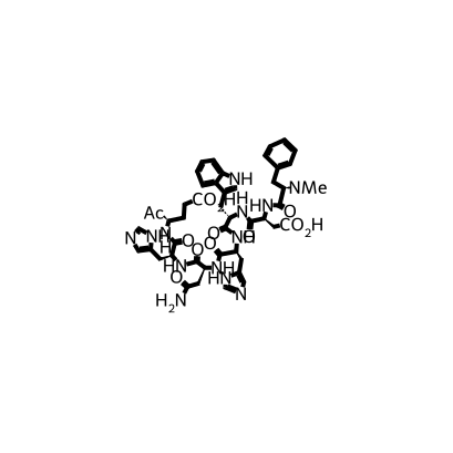 CN[C@@H](Cc1ccccc1)C(=O)N[C@@H](CC(=O)O)C(=O)N[C@@H](Cc1c[nH]c2ccccc12)C(=O)N[C@@H](Cc1cnc[nH]1)C(=O)N[C@@H](CC(N)=O)C(=O)N[C@@H](Cc1cnc[nH]1)C(=O)N[C@@H](CCC(=O)O)C(C)=O